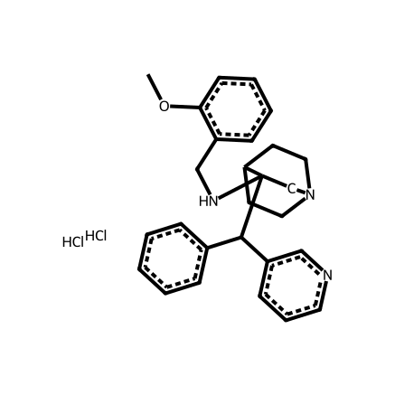 COc1ccccc1CNC1(C(c2ccccc2)c2cccnc2)CN2CCC1CC2.Cl.Cl